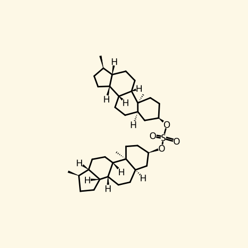 C[C@@H]1CC[C@@H]2[C@H]1CC[C@H]1[C@@H]2CC[C@@H]2C[C@H](OS(=O)(=O)O[C@@H]3CC[C@@]4(C)[C@H](CC[C@@H]5[C@@H]6CC[C@@H](C)[C@@H]6CC[C@@H]54)C3)CC[C@@]21C